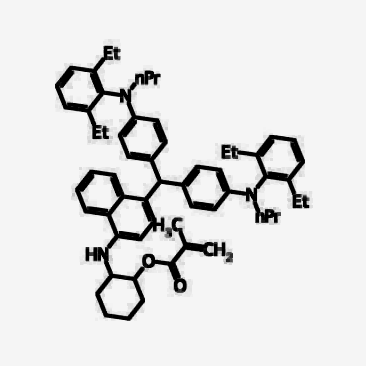 C=C(C)C(=O)OC1CCCCC1Nc1ccc(C(c2ccc(N(CCC)c3c(CC)cccc3CC)cc2)c2ccc(N(CCC)c3c(CC)cccc3CC)cc2)c2ccccc12